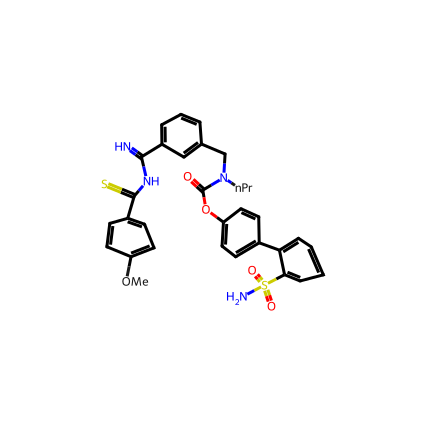 CCCN(Cc1cccc(C(=N)NC(=S)c2ccc(OC)cc2)c1)C(=O)Oc1ccc(-c2ccccc2S(N)(=O)=O)cc1